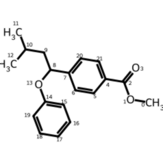 COC(=O)c1ccc(C(CC(C)C)Oc2ccccc2)cc1